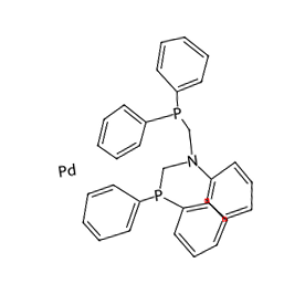 [Pd].c1ccc(N(CP(c2ccccc2)c2ccccc2)CP(c2ccccc2)c2ccccc2)cc1